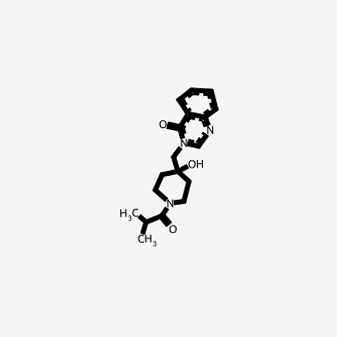 CC(C)C(=O)N1CCC(O)(Cn2cnc3ccccc3c2=O)CC1